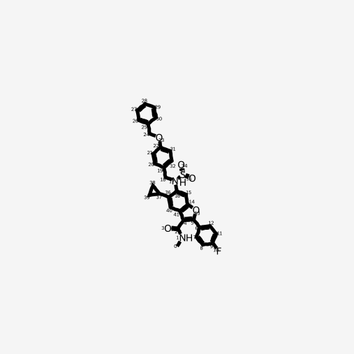 CNC(=O)c1c(-c2ccc(F)cc2)oc2cc(N(Cc3ccc(OCc4ccccc4)cc3)[SH](=O)=O)c(C3CC3)cc12